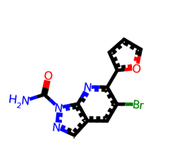 NC(=O)n1n[c]c2cc(Br)c(-c3ccco3)nc21